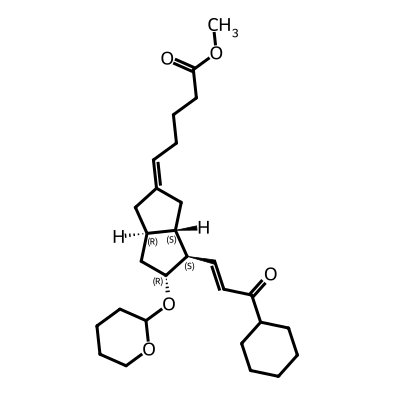 COC(=O)CCCC=C1C[C@@H]2C[C@@H](OC3CCCCO3)[C@H](C=CC(=O)C3CCCCC3)[C@H]2C1